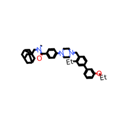 CCOc1cccc(-c2ccc(CN3CCN(c4ccc(C(=O)N(C)CC56CC7CC(CC(C7)C5)C6)cc4)CC3)c(CC)c2)c1